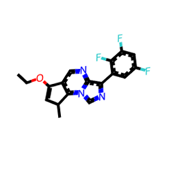 CCOC1=CC(C)c2c1cnc1c(-c3cc(F)cc(F)c3F)ncn21